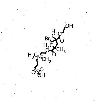 CC(C)(CC(C)(CBr)C(=O)OCCO)C(=O)OCC[N+](C)(C)CCCS(=O)(=O)O